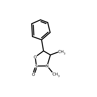 CC1C(c2ccccc2)OS(=O)N1C